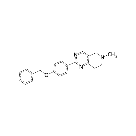 CN1CCc2nc(-c3ccc(OCc4ccccc4)cc3)ncc2C1